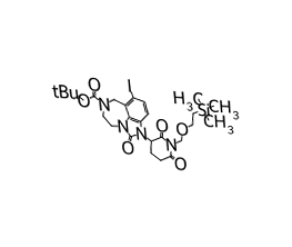 CC(C)(C)OC(=O)N1CCn2c(=O)n(C3CCC(=O)N(COCC[Si](C)(C)C)C3=O)c3ccc(I)c(c32)C1